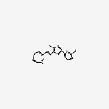 Cc1ncc(-c2cccc(I)n2)cc1/C=C/C1=CCC/C=C\N=C/1